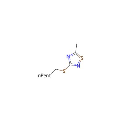 CCCCCCSc1nsc(C)n1